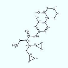 NC[C@@H](C(=O)Nc1ccc(N2CCOCC2=O)c(F)c1)N(CC1CC1)C1CC1